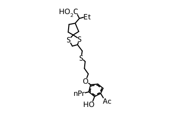 CCCc1c(OCCCSCC2CSC3(CCC(C(CC)C(=O)O)C3)S2)ccc(C(C)=O)c1O